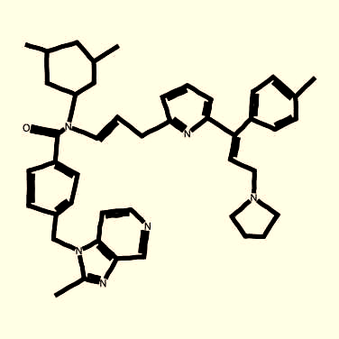 Cc1ccc(C(=CCN2CCCC2)c2cccc(CC=CN(C(=O)c3ccc(Cn4c(C)nc5cnccc54)cc3)C3CC(C)CC(C)C3)n2)cc1